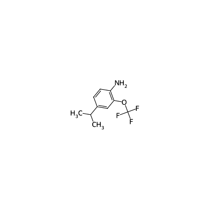 CC(C)c1ccc(N)c(OC(F)(F)F)c1